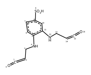 O=C=CCNc1ccc(S(=O)(=O)O)cc1NCC=C=O